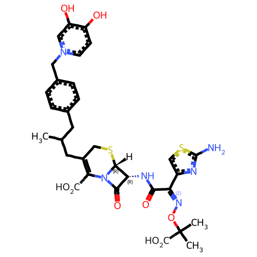 CC(CC1=C(C(=O)O)N2C(=O)[C@@H](NC(=O)/C(=N\OC(C)(C)C(=O)O)c3csc(N)n3)[C@H]2SC1)Cc1ccc(C[n+]2ccc(O)c(O)c2)cc1